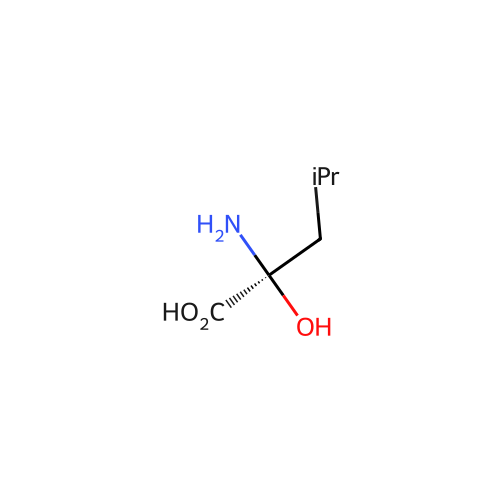 CC(C)C[C@](N)(O)C(=O)O